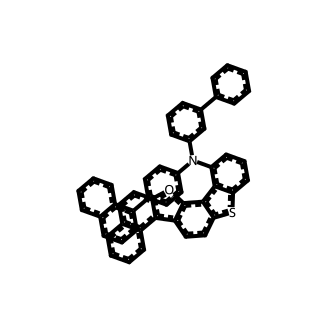 c1ccc(-c2cccc(N(c3ccc(-c4cccc5ccccc45)cc3)c3cccc4sc5ccc6c(oc7ccc8ccccc8c76)c5c34)c2)cc1